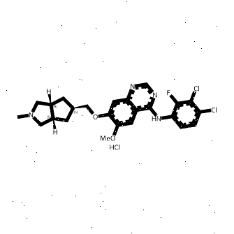 COc1cc2c(Nc3ccc(Cl)c(Cl)c3F)ncnc2cc1OC[C@H]1C[C@@H]2CN(C)C[C@@H]2C1.Cl